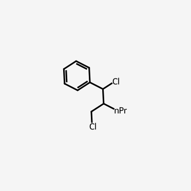 CCCC(CCl)C(Cl)c1ccccc1